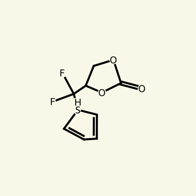 O=C1OCC(C(F)(F)[SH]2C=CC=C2)O1